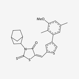 COc1cc(C)cc(-c2csc(/C=C3/SC(=S)N(C4CC5CCC4C5)C3=O)c2)c1C